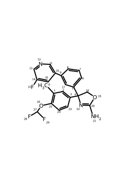 Cc1cc(C2(c3cccc(-c4cncc(F)c4)c3)COC(N)=N2)ccc1OC(F)F